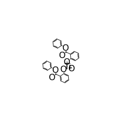 O=C(Oc1ccccc1)c1ccccc1[O][Ti](=[O])[O]c1ccccc1C(=O)Oc1ccccc1